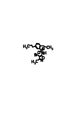 CCCc1ccc(CCC)c(S(=O)(=O)Nc2onc(C)c2Br)c1